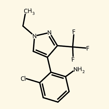 CCn1cc(-c2c(N)cccc2Cl)c(C(F)(F)F)n1